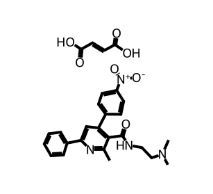 Cc1nc(-c2ccccc2)cc(-c2ccc([N+](=O)[O-])cc2)c1C(=O)NCCN(C)C.O=C(O)/C=C/C(=O)O